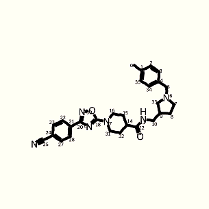 Cc1ccc(CN2CCC(CNC(=O)C3CCN(c4nc(-c5ccc(C#N)cc5)no4)CC3)C2)cc1